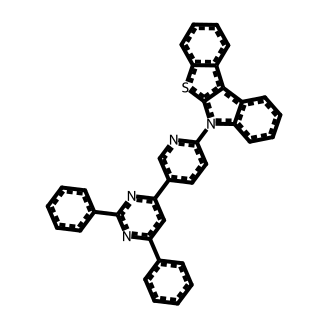 c1ccc(-c2cc(-c3ccc(-n4c5ccccc5c5c6ccccc6sc54)nc3)nc(-c3ccccc3)n2)cc1